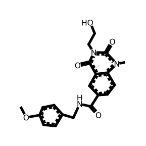 COc1ccc(CNC(=O)c2ccc3c(c2)c(=O)n(CCO)c(=O)n3C)cc1